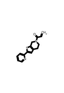 C=CC(=O)N1CCc2cc(-c3ccccn3)sc2C1